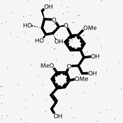 COc1cc(C(O)C(CO)Oc2c(OC)cc(/C=C/CO)cc2OC)ccc1O[C@@H]1O[C@H](CO)[C@@H](O)[C@H](O)[C@H]1O